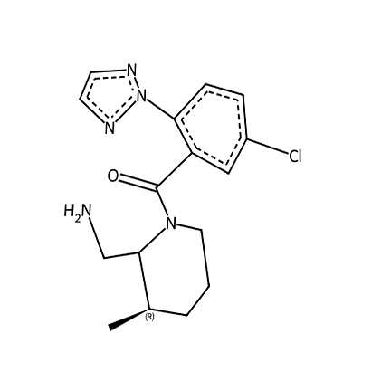 C[C@@H]1CCCN(C(=O)c2cc(Cl)ccc2-n2nccn2)C1CN